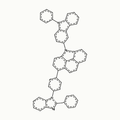 c1ccc(-c2nc3ccccc3n2-c2ccc(-c3ccc4c5c3ccc3cccc(c35)n4-c3ccc4c(c3)c3ccccc3n4-c3ccccc3)cc2)cc1